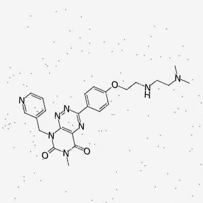 CN(C)CCNCCOc1ccc(-c2nnc3c(n2)c(=O)n(C)c(=O)n3Cc2cccnc2)cc1